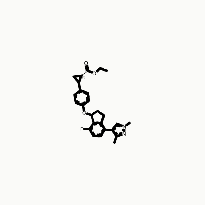 CCOC(=O)[C@H]1CC1c1ccc(OC2CCc3c(-c4cn(C)nc4C)ccc(F)c32)cc1